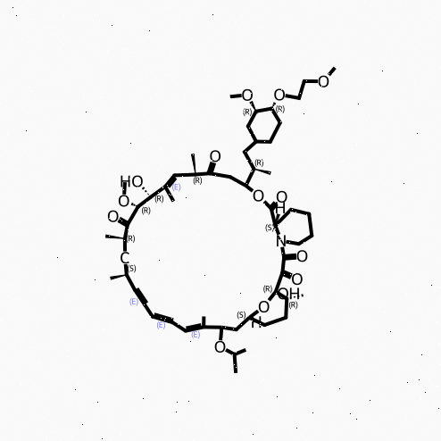 COCCO[C@@H]1CCC(C[C@@H](C)C2CC(=O)[C@H](C)/C=C(\C)[C@@H](O)[C@@H](OC)C(=O)[C@H](C)C[C@H](C)/C=C/C=C/C=C(\C)C(OC(C)C)C[C@@H]3CC[C@@H](C)[C@@](O)(O3)C(=O)C(=O)N3CCCC[C@H]3C(=O)O2)C[C@H]1OC